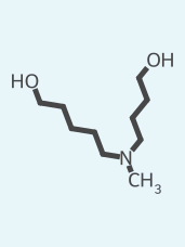 CN(CCCCO)CCCCCO